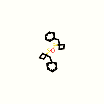 c1ccc(CC2(SOSC3(Cc4ccccc4)CCC3)CCC2)cc1